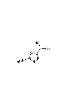 N#Cc1ncc(B(O)O)s1